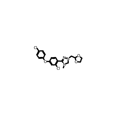 CN1CN(CC2OCCO2)N=C1c1ccc(Oc2ccc(Cl)cc2)cc1Cl